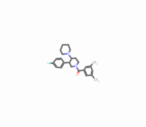 O=C(c1cc(C(F)(F)F)cc(C(F)(F)F)c1)N1CCC(N2C[CH]CCC2)C(c2ccc(F)cc2)C1